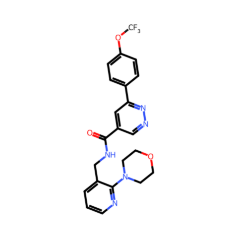 O=C(NCc1cccnc1N1CCOCC1)c1cnnc(-c2ccc(OC(F)(F)F)cc2)c1